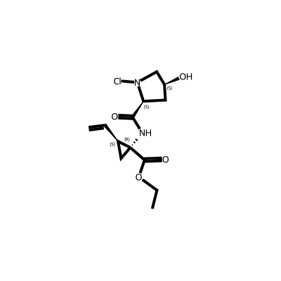 C=C[C@@H]1C[C@]1(NC(=O)[C@@H]1C[C@H](O)CN1Cl)C(=O)OCC